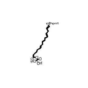 CCCCCC=CCC=CCC=CCC=CCCCC(=O)OP(=O)(O)O